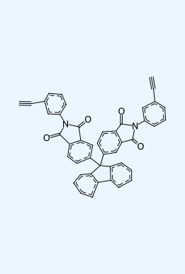 C#Cc1cccc(N2C(=O)c3ccc(C4(c5ccc6c(c5)C(=O)N(c5cccc(C#C)c5)C6=O)c5ccccc5-c5ccccc54)cc3C2=O)c1